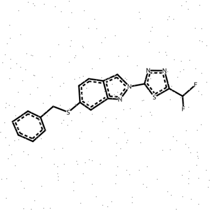 FC(F)c1nnc(-n2cc3ccc(SCc4ccccc4)cc3n2)s1